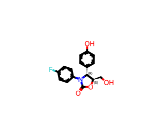 O=C1O[C@H](CO)[C@@H](c2ccc(O)cc2)N1c1ccc(F)cc1